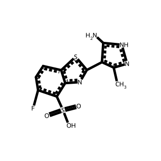 Cc1n[nH]c(N)c1-c1nc2c(S(=O)(=O)O)c(F)ccc2s1